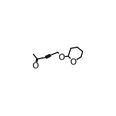 CC(=O)C#CCOC1CCCCO1